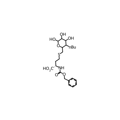 CCCCC1C(CSCC[C@H](NC(=O)OCc2ccccc2)C(=O)O)OC(O)C(O)C1O